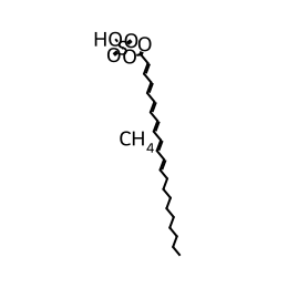 C.CCCCCCCCC/C=C/C=C/C=C/C=C/C=C/C=C/C(=O)OS(=O)(=O)O